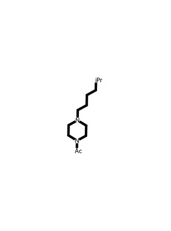 CC(=O)N1CCN(CCCCC(C)C)CC1